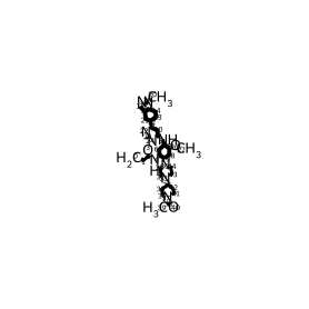 C=CC(=O)Nc1cc(Nc2cc(-c3ccc4c(cnn4C)c3)ncn2)c(OC)cc1N1CCN(C2CCN(C(C)=O)CC2)CC1